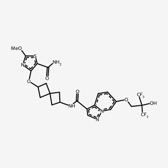 COc1nc(OC2CC3(CC(NC(=O)c4cnn5cc(OCC(O)(C(F)(F)F)C(F)(F)F)ccc45)C3)C2)c(C(N)=O)s1